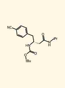 CC(C)NC(=O)C[C@@H](Cc1ccc(C#N)cc1)NC(=O)OC(C)(C)C